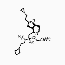 COCOC(Cc1nccc2oc(CCC3CC3)cc12)(C(C)=O)C(C)CCC1CCC1